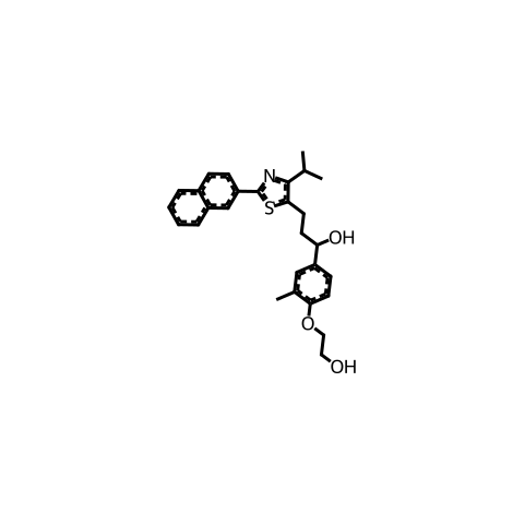 Cc1cc(C(O)CCc2sc(-c3ccc4ccccc4c3)nc2C(C)C)ccc1OCCO